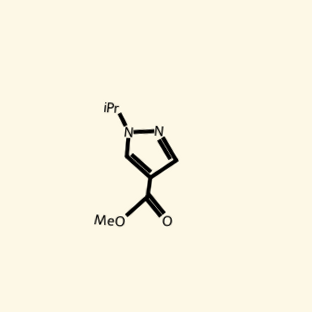 COC(=O)c1cnn(C(C)C)c1